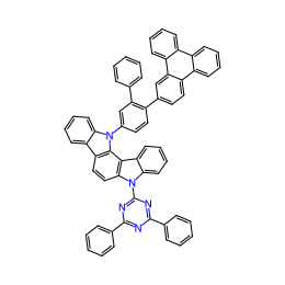 c1ccc(-c2nc(-c3ccccc3)nc(-n3c4ccccc4c4c3ccc3c5ccccc5n(-c5ccc(-c6ccc7c8ccccc8c8ccccc8c7c6)c(-c6ccccc6)c5)c34)n2)cc1